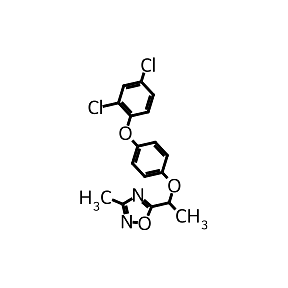 Cc1noc(C(C)Oc2ccc(Oc3ccc(Cl)cc3Cl)cc2)n1